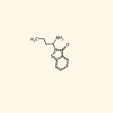 CCCC(N)n1sc2ccccc2c1=O